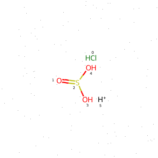 Cl.O=S(O)O.[H+]